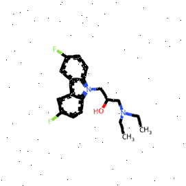 CCN(CC)CC(O)Cn1c2ccc(F)cc2c2cc(F)ccc21